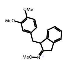 CO/N=C1/Cc2ccccc2C1Cc1ccc(OC)c(OC)c1